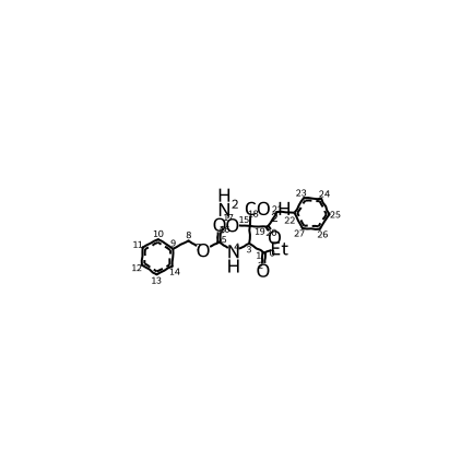 CCC(=O)C(NC(=O)OCc1ccccc1)C(ON)(C(=O)O)C(=O)Cc1ccccc1